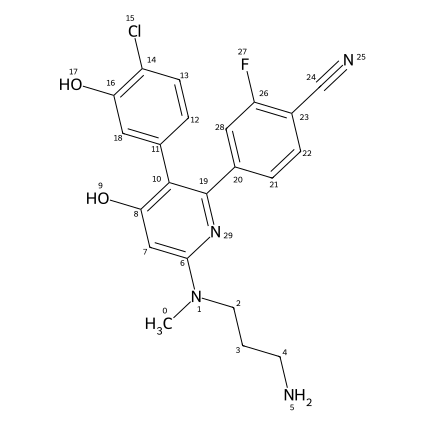 CN(CCCN)c1cc(O)c(-c2ccc(Cl)c(O)c2)c(-c2ccc(C#N)c(F)c2)n1